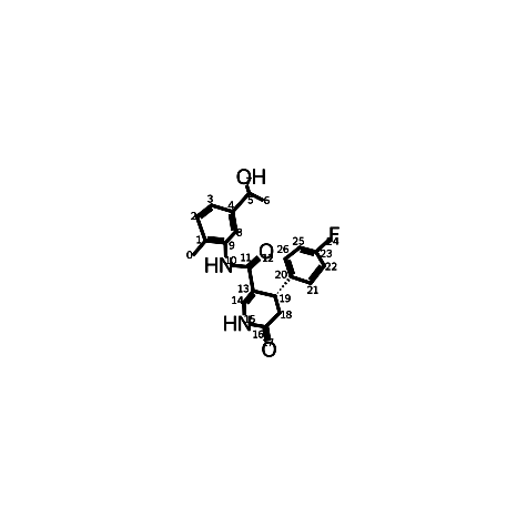 Cc1ccc(C(C)O)cc1NC(=O)C1=CNC(=O)C[C@H]1c1ccc(F)cc1